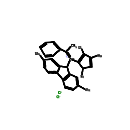 CCC1=[C](/[Zr+2](=[C](\C)c2ccccc2)[CH]2c3cc(C(C)(C)C)ccc3-c3ccc(C(C)(C)C)cc32)C(CC)C=C1C(C)(C)C.[Cl-].[Cl-]